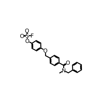 CN(Cc1ccccc1)C(=O)c1ccc(COc2ccc(OS(=O)(=O)F)cc2)cc1